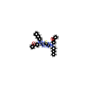 c1ccc2cc3cc(N(c4ccc5c(c4)oc4ccccc45)c4cnc5c(n4)sc4nc(N(c6ccc7cc8ccccc8cc7c6)c6ccc7c(c6)oc6ccccc67)cnc45)ccc3cc2c1